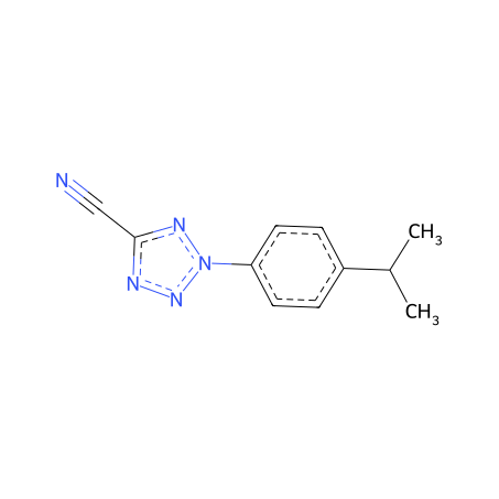 CC(C)c1ccc(-n2nnc(C#N)n2)cc1